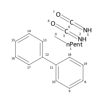 CCCCCC.N=C=O.N=C=O.c1ccc(-c2ccccc2)cc1